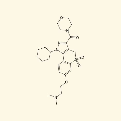 CN(C)CCOc1ccc2c(c1)S(=O)(=O)Cc1c(C(=O)N3CCOCC3)nn(C3CCCCC3)c1-2